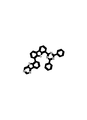 c1ccc(-c2nc(-c3ccccc3)nc(-c3cccc4c3sc3c(-c5cccc6c5sc5cncnc56)cccc34)n2)cc1